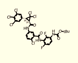 CC(C)(C)OC(=O)Nc1ccc(F)c(NC(=O)c2cc(NC(=O)[C@H]3[C@H](c4cc(Cl)c(Cl)c(Cl)c4)C3(Cl)Cl)ccc2Cl)c1F